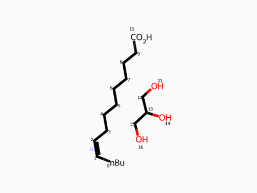 CCCC/C=C\CCCCCCCC(=O)O.OCC(O)CO